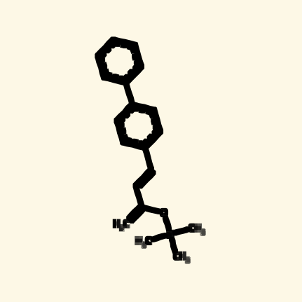 C=C(C=Cc1ccc(-c2ccccc2)cc1)O[Si](C)(C)C